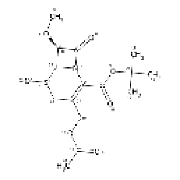 CO[C@H]1C(=O)N2C(C(=O)OC(C)(C)C)=C(COC(C)=O)C[S+]([O-])C12